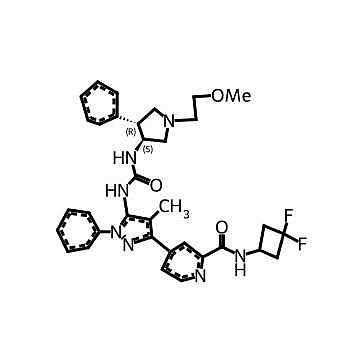 COCCN1C[C@@H](NC(=O)Nc2c(C)c(-c3ccnc(C(=O)NC4CC(F)(F)C4)c3)nn2-c2ccccc2)[C@H](c2ccccc2)C1